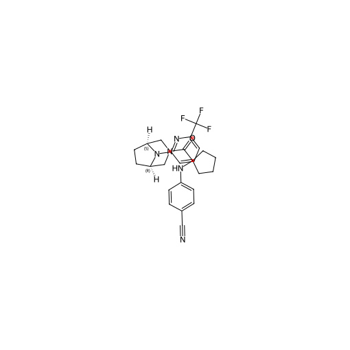 N#Cc1ccc(NC2(C(=O)N3C[C@H]4CC[C@@H](C3)N4c3cccc(C(F)(F)F)n3)CCCC2)cc1